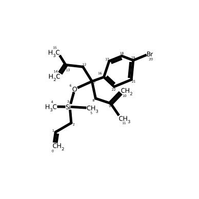 C=CC[Si](C)(C)OC(CC(=C)C)(CC(=C)C)c1ccc(Br)cc1